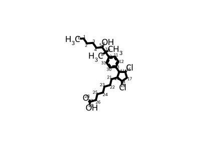 CCCCCC(O)C(C)(C)c1ccc(C2C(Cl)CC(Cl)C2CCCCCCC(=O)O)cc1